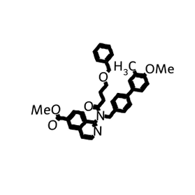 COC(=O)c1ccc2c(N(Cc3ccc(-c4ccc(OC)c(C)c4)cc3)C(=O)CCCOCc3ccccc3)nccc2c1